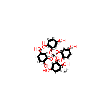 Oc1ccc(O)c(O[B-](Oc2cc(O)ccc2O)(Oc2cc(O)ccc2O)Oc2cc(O)ccc2O)c1.[Li+]